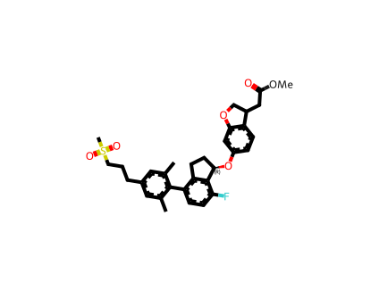 COC(=O)CC1COc2cc(O[C@@H]3CCc4c(-c5c(C)cc(CCCS(C)(=O)=O)cc5C)ccc(F)c43)ccc21